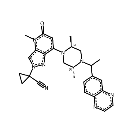 CC(c1ccc2nccnc2c1)N1C[C@H](C)N(c2cc(=O)n(C)c3cn(C4(C#N)CC4)nc23)C[C@H]1C